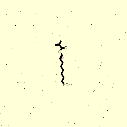 C=C(C)C(=O)O/C=C/CCCCCCCCCCCCCC